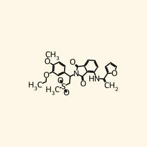 C=C(Nc1cccc2c1C(=O)N(C(CS(C)(=O)=O)c1ccc(OC)c(OCC)c1)C2=O)c1ccco1